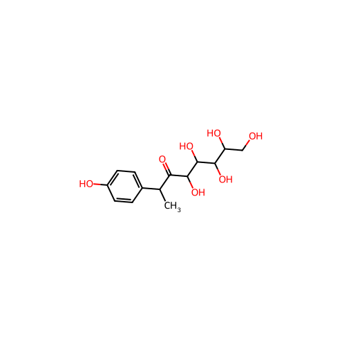 CC(C(=O)C(O)C(O)C(O)C(O)CO)c1ccc(O)cc1